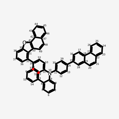 c1ccc(-c2ccccc2N(c2ccc(-c3ccc4c(ccc5ccccc54)c3)cc2)c2ccc(-c3cccc4oc5c6ccccc6ccc5c34)cc2)cc1